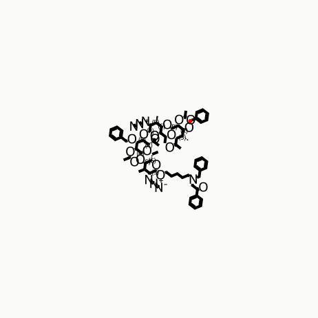 CCC1O[C@H](O[C@H]2C(OCc3ccccc3)C(OC(C)=O)[C@H](O[C@H]3C(C)C(N=[N+]=[N-])[C@@H](OCCCCCN(CC(=O)c4ccccc4)Cc4ccccc4)O[C@H]3CC)O[C@H]2C(C)=O)C(N=[N+]=[N-])[C@@H](C)[C@@H]1O[C@@H]1OC(C(C)=O)[C@@H](C)[C@@H](OCc2ccccc2)C1OC(C)=O